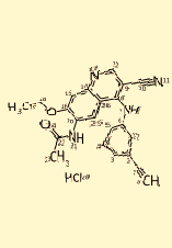 C#Cc1cccc(Nc2c(C#N)cnc3cc(OCC)c(NC(C)=O)cc23)c1.Cl